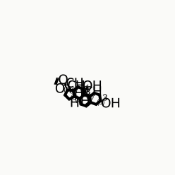 CC1([C@@H]2CC[C@H]3[C@@H]4CC=C5C[C@@H](O)CC[C@]5(C)[C@H]4[C@@H](O)C[C@@]32C)OCCO1